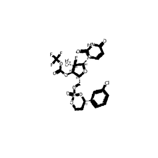 C[C@@]1(F)[C@H](OC(=O)OC(F)(F)F)[C@@H](COP2(=O)OCC[C@@H](c3cccc(Cl)c3)O2)O[C@H]1n1ccc(=O)[nH]c1=O